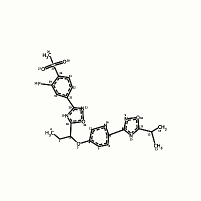 CCC(Oc1ccc(-c2noc(C(C)C)n2)nc1)c1nc(-c2ccc(S(C)(=O)=O)c(F)c2)no1